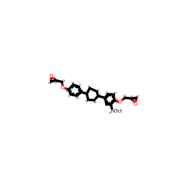 CCCCCCCCc1cc(C2CCC(c3ccc(OCC4CO4)cc3)CC2)ccc1OCC1CO1